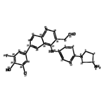 NC1CCN(c2ccc(Nc3c(CC=O)cnc4ccc(-c5cc(F)c(O)c(Cl)c5)cc34)cn2)C1